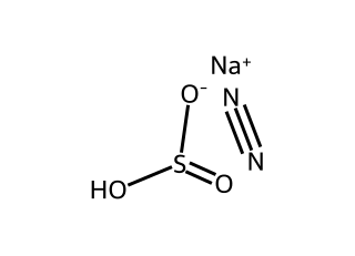 N#N.O=S([O-])O.[Na+]